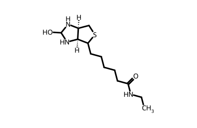 CCNC(=O)CCCCCC1SC[C@@H]2NC(O)N[C@H]12